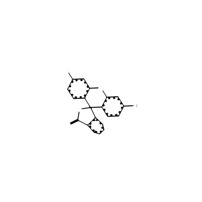 Nc1ccc2c(c1)Oc1cc(N)ccc1C21NC(=O)c2ccccc21